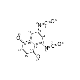 O=C=Nc1cc(N=C=O)c2c(c1)C(=O)C=CC2=O